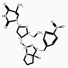 CC[C@H]1O[C@@H](n2cc(C)c(=O)[nH]c2=O)C[C@H]1O[P@@]1O[C@H](Cc2ccc([N+](=O)[O-])cc2)[C@@H]2CCCN21